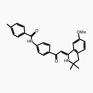 COc1ccc2c(c1)C(=CC(=O)c1ccc(NC(=O)c3ccc(C)cc3)cc1)NC(C)(C)C2